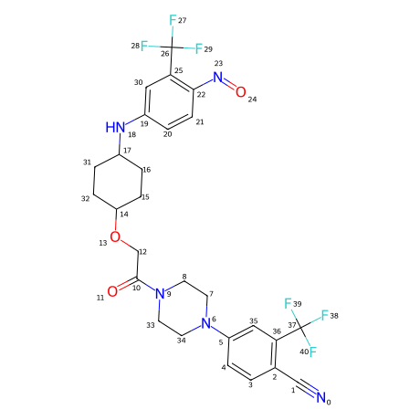 N#Cc1ccc(N2CCN(C(=O)COC3CCC(Nc4ccc(N=O)c(C(F)(F)F)c4)CC3)CC2)cc1C(F)(F)F